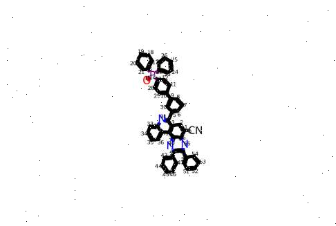 N#Cc1cc2c(-c3cccc(-c4ccc(P(=O)(c5ccccc5)c5ccccc5)cc4)c3)nc3ccccc3c2c2nc(-c3ccccc3)c(-c3ccccc3)nc12